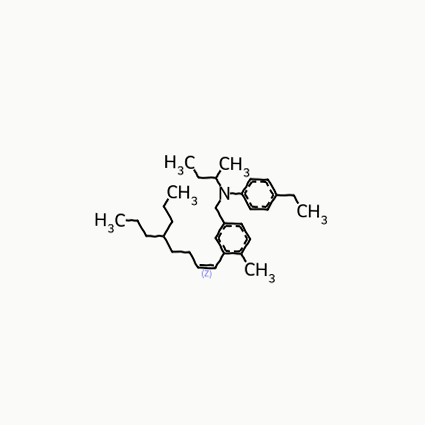 CCCC(CCC)CC/C=C\c1cc(CN(c2ccc(CC)cc2)C(C)CC)ccc1C